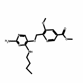 CCCCNc1nc(N)ncc1OCc1ncc(C(=O)OC)cc1OC